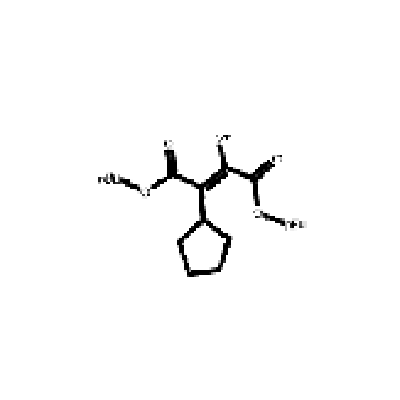 CCCCOC(=O)C(=C(C(=O)OCCCC)C1CCCC1)C(C)C